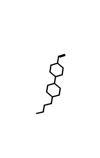 C=CC1CCC(C2CCC(CCCC)CC2)CC1